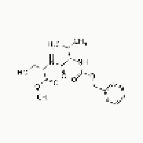 COC(=O)[C@H](CO)NC(=O)C(NC(=O)OCc1ccccc1)C(C)C